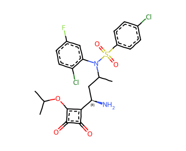 CC(C)Oc1c([C@H](N)CC(C)N(c2cc(F)ccc2Cl)S(=O)(=O)c2ccc(Cl)cc2)c(=O)c1=O